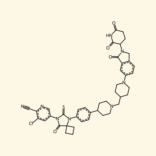 N#Cc1ncc(N2C(=O)C3(CCC3)N(c3ccc(C4CCN(CC5CCN(c6ccc7c(c6)C(=O)N(C6CCC(=O)NC6=O)C7)CC5)CC4)cc3)C2=S)cc1Cl